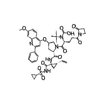 C=C[C@@H]1C[C@]1(NC(=O)[C@@H]1C[C@@H](Oc2cc(-c3ccccc3)nc3cc(OC)ccc23)CN1C(=O)[C@H](CCC(=O)N1CCC1=O)N(C(=O)O)C(C)(C)C)C(=O)NS(=O)(=O)C1CC1